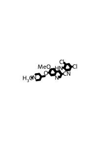 COc1cc2c(Nc3ccc(Cl)cc3Cl)c(C#N)cnc2cc1OCC1CCN(C)CC1